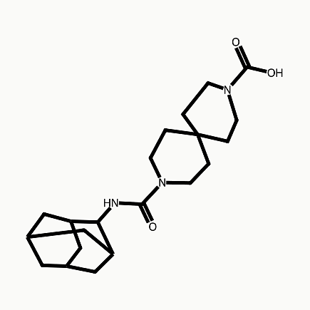 O=C(O)N1CCC2(CC1)CCN(C(=O)NC1C3CC4CC(C3)CC1C4)CC2